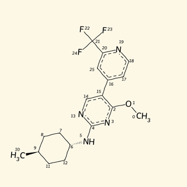 COc1nc(N[C@H]2CC[C@H](C)CC2)ncc1-c1ccnc(C(F)(F)F)c1